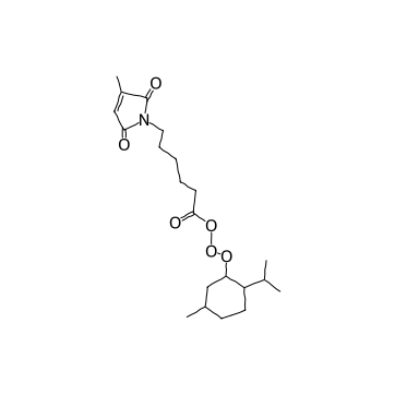 CC1=CC(=O)N(CCCCCC(=O)OOOC2CC(C)CCC2C(C)C)C1=O